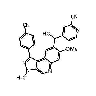 COc1cc2ncc3c(c(-c4ccc(C#N)cc4)nn3C)c2cc1C(O)c1ccnc(C#N)c1